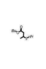 CCCSC(C)CC(=O)OC(C)CC